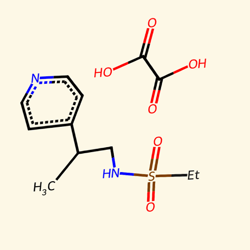 CCS(=O)(=O)NCC(C)c1ccncc1.O=C(O)C(=O)O